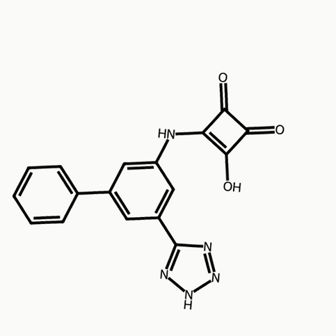 O=c1c(O)c(Nc2cc(-c3ccccc3)cc(-c3nn[nH]n3)c2)c1=O